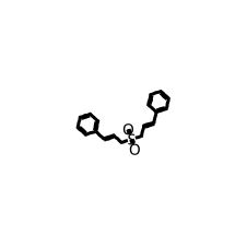 O=S(=O)(CC=Cc1ccccc1)CC=Cc1ccccc1